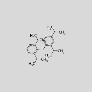 CC(C)c1ccc(Cc2c(C(C)C)cccc2C(C)C)c(C(C)C)c1